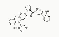 CC(C)C[C@H](NC(=S)[C@H](Cc1ccccc1)NC(=O)[C@@H]1CCCN1C(=O)[C@@H](N)Cc1c[nH]c2ccccc12)B(O)O